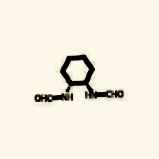 O=CN[C@@H]1CCCC[C@H]1NC=O